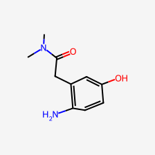 CN(C)C(=O)Cc1cc(O)ccc1N